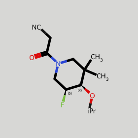 CC(C)O[C@H]1[C@@H](F)CN(C(=O)CC#N)CC1(C)C